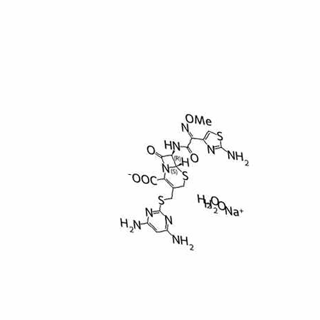 CON=C(C(=O)N[C@@H]1C(=O)N2C(C(=O)[O-])=C(CSc3nc(N)cc(N)n3)CS[C@@H]12)c1csc(N)n1.O.O.[Na+]